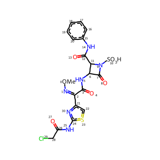 CON=C(C(=O)NC1C(=O)N(S(=O)(=O)O)C1C(=O)Nc1ccccc1)c1csc(NC(=O)CCl)n1